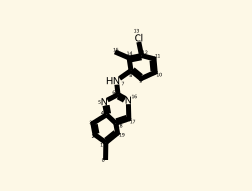 Cc1ccc2nc(Nc3cccc(Cl)c3C)ncc2c1